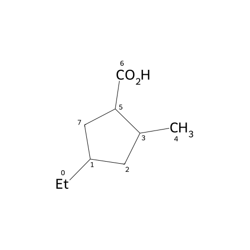 CCC1CC(C)C(C(=O)O)C1